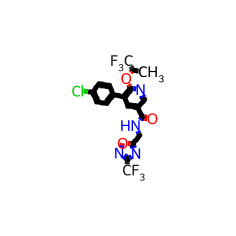 CC(Oc1ncc(C(=O)NCc2nc(C(F)(F)F)no2)cc1-c1ccc(Cl)cc1)C(F)(F)F